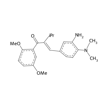 COc1ccc(OC)c(C(=O)C(=Cc2ccc(N(C)C)c(N)c2)C(C)C)c1